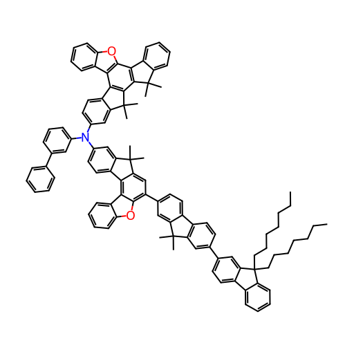 CCCCCCCC1(CCCCCCC)c2ccccc2-c2ccc(-c3ccc4c(c3)C(C)(C)c3cc(-c5cc6c(c7c5oc5ccccc57)-c5ccc(N(c7cccc(-c8ccccc8)c7)c7ccc8c(c7)C(C)(C)c7c9c(c%10oc%11ccccc%11c%10c7-8)-c7ccccc7C9(C)C)cc5C6(C)C)ccc3-4)cc21